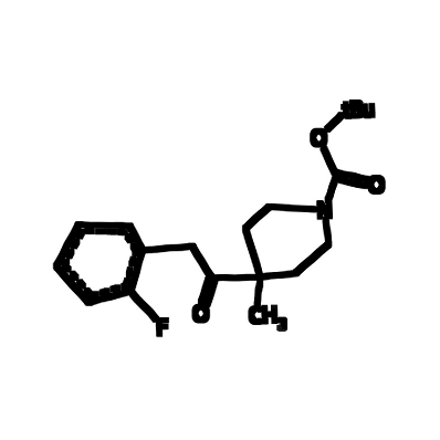 CC(C)(C)OC(=O)N1CCC(C)(C(=O)Cc2ccccc2F)CC1